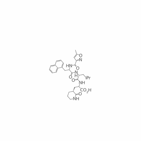 Cc1cc(C(=O)NC(Cc2cccc3ccccc23)C(=O)NC(CC(C)C)C(=O)NC(C[C@@H]2CCCNC2=O)C(=O)O)no1